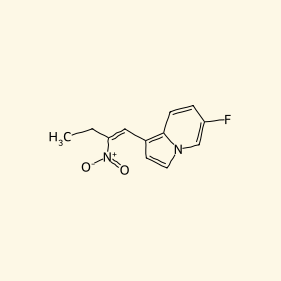 CCC(=Cc1ccn2cc(F)ccc12)[N+](=O)[O-]